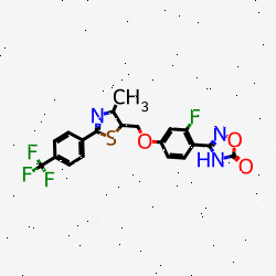 CC1N=C(c2ccc(C(F)(F)F)cc2)SC1COc1ccc(-c2noc(=O)[nH]2)c(F)c1